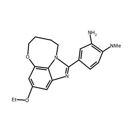 CCOc1cc2c3c(c1)nc(-c1ccc(NC)c(N)c1)n3CCCCO2